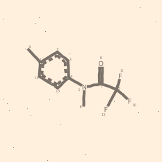 [CH2]c1ccc(N(C)C(=O)C(F)(F)F)cc1